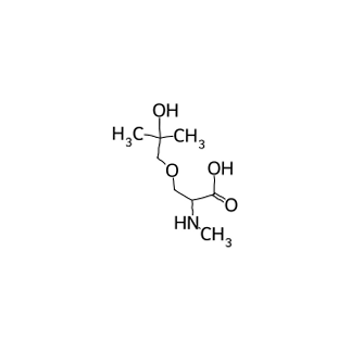 CNC(COCC(C)(C)O)C(=O)O